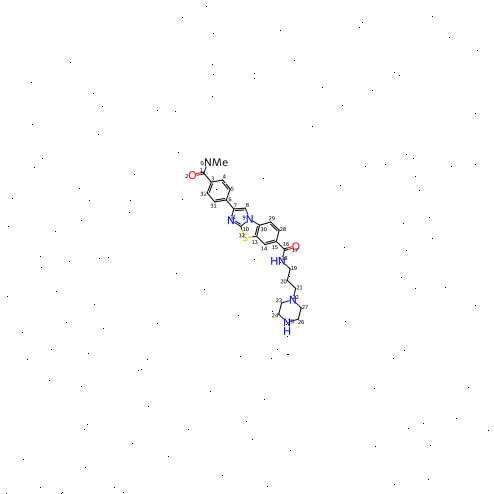 CNC(=O)c1ccc(-c2cn3c(n2)sc2cc(C(=O)NCCCN4CCNCC4)ccc23)cc1